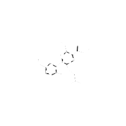 COC(=O)c1cc(OCC(C)C)c(-c2cc(OC)ccc2F)nc1OC